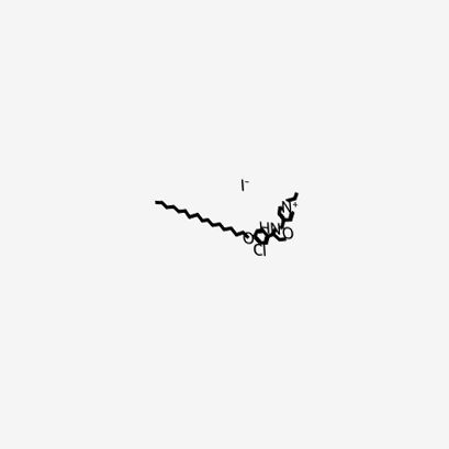 CCCCCCCCCCCCCCCCOc1ccc(C(CC)NC(=O)c2cc[n+](CCC)cc2)cc1Cl.[I-]